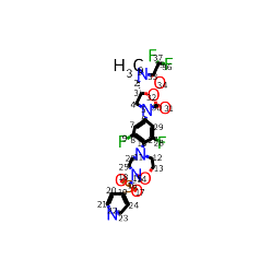 CN(C[C@H]1CN(c2cc(F)c(N3CCON(S(=O)(=O)c4ccncc4)CC3)c(F)c2)C(=O)O1)C(=O)C(F)F